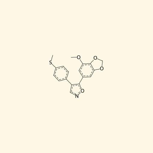 COc1cc(-c2oncc2-c2ccc(SC)cc2)cc2c1OCO2